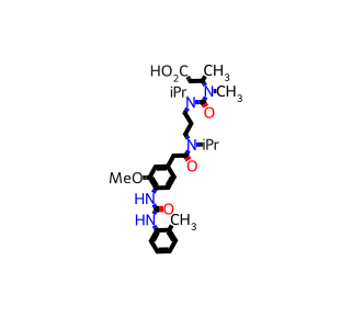 COc1cc(CC(=O)N(CCCN(C(=O)N(C)C(C)CC(=O)O)C(C)C)C(C)C)ccc1NC(=O)Nc1ccccc1C